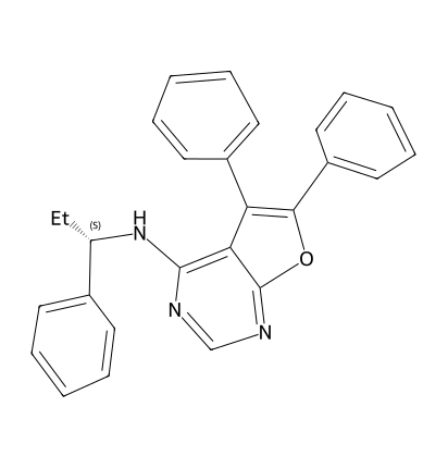 CC[C@H](Nc1ncnc2oc(-c3ccccc3)c(-c3ccccc3)c12)c1ccccc1